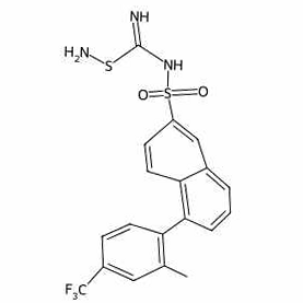 Cc1cc(C(F)(F)F)ccc1-c1cccc2cc(S(=O)(=O)NC(=N)SN)ccc12